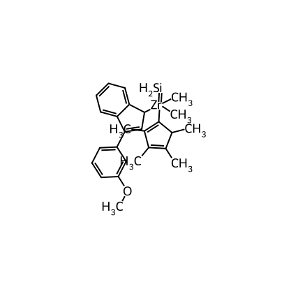 COc1cccc(C2=C[CH]([Zr]([CH3])([CH3])(=[SiH2])[C]3=C(C)C(C)=C(C)C3C)c3ccccc32)c1